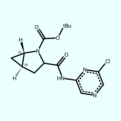 CC(C)(C)OC(=O)N1C(C(=O)Nc2cncc(Cl)n2)C[C@H]2C[C@@H]21